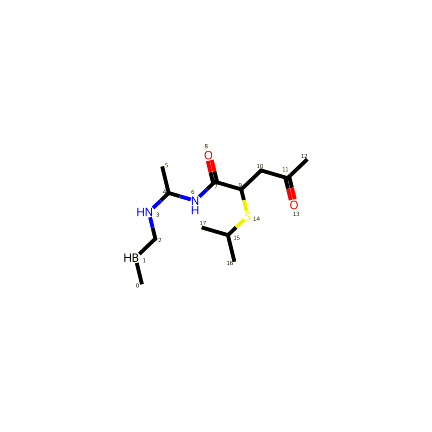 CBCNC(C)NC(=O)C(CC(C)=O)SC(C)C